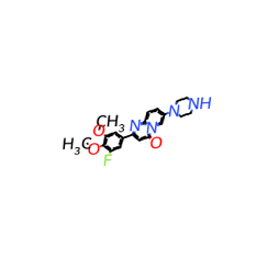 COc1cc(-c2cc(=O)n3cc(N4CCNCC4)ccc3n2)cc(F)c1OC